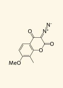 COc1ccc2c(c1C)OC(=O)C(=[N+]=[N-])C2=O